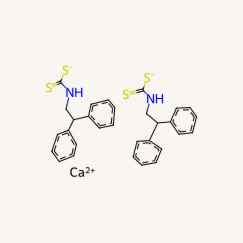 S=C([S-])NCC(c1ccccc1)c1ccccc1.S=C([S-])NCC(c1ccccc1)c1ccccc1.[Ca+2]